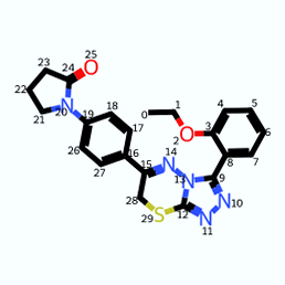 CCOc1ccccc1-c1nnc2n1N=C(c1ccc(N3CCCC3=O)cc1)CS2